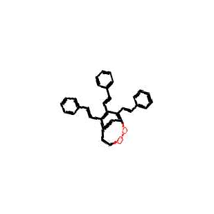 C(=Cc1c2cc(c(C=Cc3ccccc3)c1C=Cc1ccccc1)OOCC2)c1ccccc1